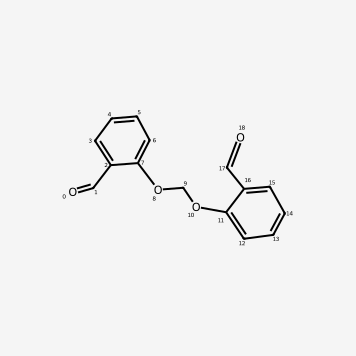 O=Cc1ccccc1OCOc1ccccc1C=O